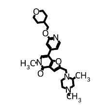 CC1CN(C)CCN1Cc1cc2c(=O)n(C)cc(-c3ccnc(OCC4CCOCC4)c3)c2o1